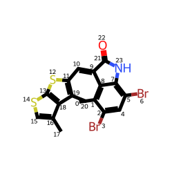 Cc1c(Br)cc(Br)c2c1C(=Cc1sc3scc(C)c3c1C)C(=O)N2